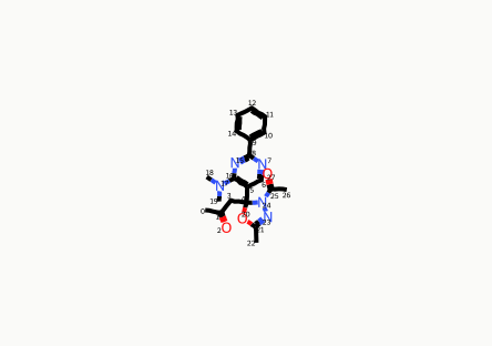 CC(=O)CC1(c2cnc(-c3ccccc3)nc2N(C)C)OC(C)=NN1C(C)=O